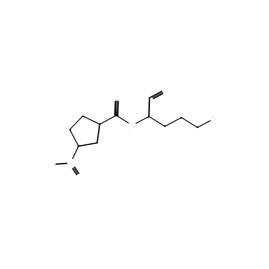 NCCCC(C=O)NC(=O)C1CCC(S(=O)O)C1